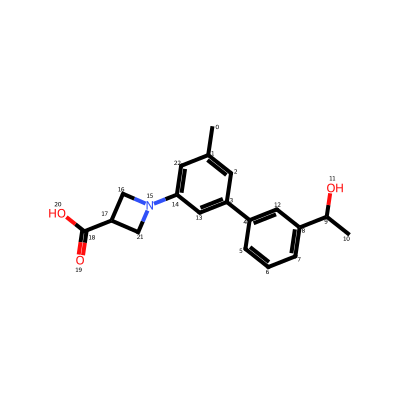 Cc1cc(-c2cccc(C(C)O)c2)cc(N2CC(C(=O)O)C2)c1